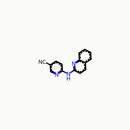 N#Cc1ccc(Nc2ccc3ccccc3n2)nc1